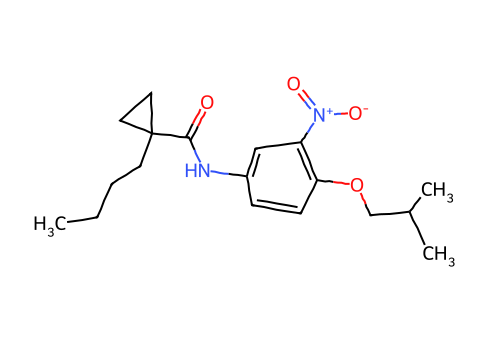 CCCCC1(C(=O)Nc2ccc(OCC(C)C)c([N+](=O)[O-])c2)CC1